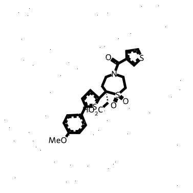 COc1ccc(-c2ccc([C@@]3(CC(=O)O)CCN(C(=O)c4ccsc4)CCS3(=O)=O)s2)cc1